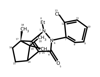 CCn1c2c(c(=O)n1-c1ccccc1Cl)C1CC[C@@]2(C)C1(C)C